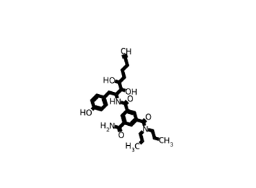 C#CCCCC(O)C(O)C(Cc1ccc(O)cc1)NC(=O)c1cc(C(N)=O)cc(C(=O)N(CCC)CCC)c1